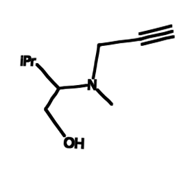 C#CCN(C)C(CO)C(C)C